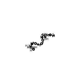 Cc1ncsc1-c1ccc([C@H](C)NC(=O)[C@@H]2C[C@@H](O)CN2C(=O)[C@@H](c2cc(N3CCC(CN4CCC(O[C@H]5C[C@H](N6CCC(C(C)n7cc(C8=C(N)NNC(c9ccccc9O)=C8)cn7)CC6)C5)CC4)CC3)no2)C(C)C)cc1